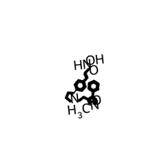 Cc1noc(-c2ccccc2)c1CCN1CCC[C@H]1c1ccc(/C=C/C(=O)NO)cc1